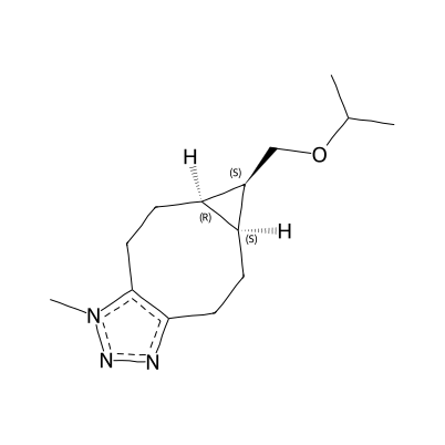 CC(C)OC[C@@H]1[C@@H]2CCc3c(nnn3C)CC[C@@H]21